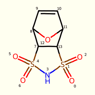 O=S1(=O)NS(=O)(=O)C2C3C=CC(O3)C21